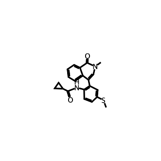 CSc1ccc(NC(=O)C2CC2)c(-c2cn(C)c(=O)c3ccccc23)c1